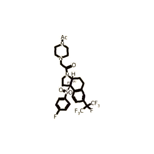 CC(=O)N1CCN(CC(=O)N2CC[C@@]3(S(=O)(=O)c4ccc(F)cc4)c4ccc(C(F)(C(F)(F)F)C(F)(F)F)cc4CC[C@@H]23)CC1